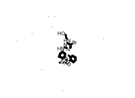 Cc1ccccc1S(=O)(=O)N=S(C)c1ccc(Nc2ncc(Br)c(NCCO)n2)cc1